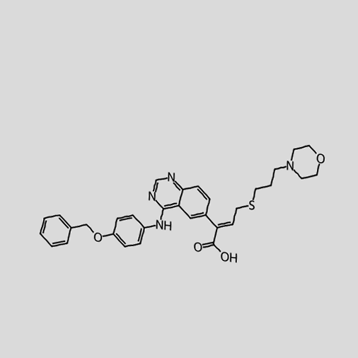 O=C(O)/C(=C/CSCCCN1CCOCC1)c1ccc2ncnc(Nc3ccc(OCc4ccccc4)cc3)c2c1